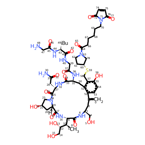 C=C1C[C@@H](CO)NC(=O)[C@H]([C@@H](C)[C@@H](O)CO)NC(=O)[C@@H]2C[C@@H](O)CN2C(=O)[C@H](CC(N)=O)NC(=O)[C@@H](NC(=O)CNC(=O)[C@@H](NC(=O)CN)[C@@H](C)CC)Cc2c1ccc(O)c2CS[C@@H]1CCN(C(=O)CCCCCN2C(=O)C=CC2=O)C1